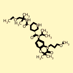 CCOCC(C)(C)NC(=O)[C@@H]1CNC[C@H](C(=O)N(c2ccc3c(c2)N(CCCOC)C(=O)C(C)(C)O3)C(C)C)C1